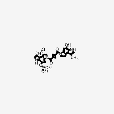 Cc1c[nH]c2c(O)cc3c(c12)CCN3C(=O)C12CC(C(=O)N3C[C@@H](CCl)c4c3cc(OP(O)O)c3[nH]cc(C)c43)(C1)C2